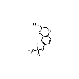 CC1COc2ccc(OS(C)(=O)=O)cc2O1